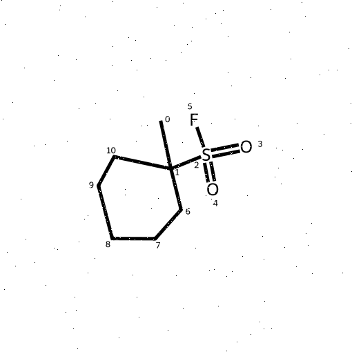 CC1(S(=O)(=O)F)CCCCC1